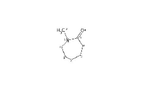 CN1CCCC[CH]C1=O